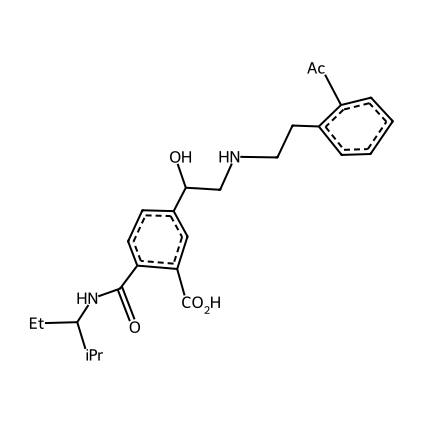 CCC(NC(=O)c1ccc(C(O)CNCCc2ccccc2C(C)=O)cc1C(=O)O)C(C)C